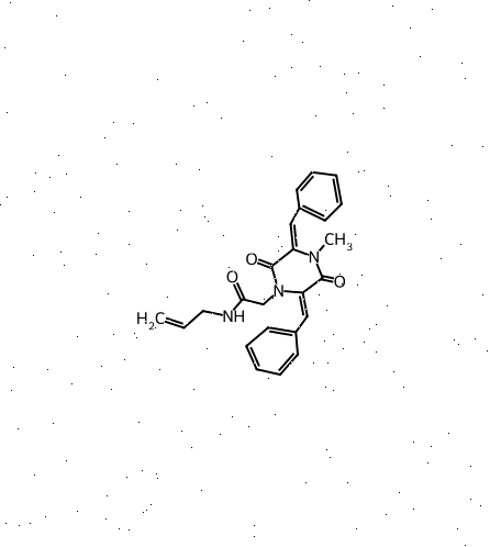 C=CCNC(=O)Cn1c(=O)/c(=C/c2ccccc2)n(C)c(=O)/c1=C/c1ccccc1